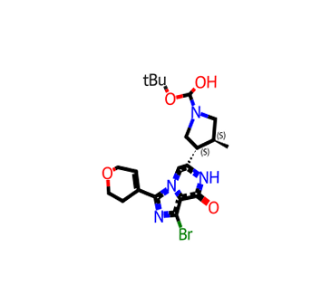 C[C@@H]1CN(C(O)OC(C)(C)C)C[C@H]1c1cn2c(C3=CCOCC3)nc(Br)c2c(=O)[nH]1